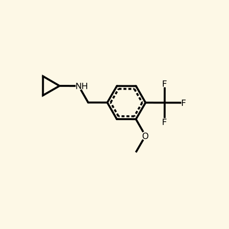 COc1cc(CNC2CC2)ccc1C(F)(F)F